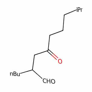 CCCCC(C=O)CC(=O)CCCC(C)C